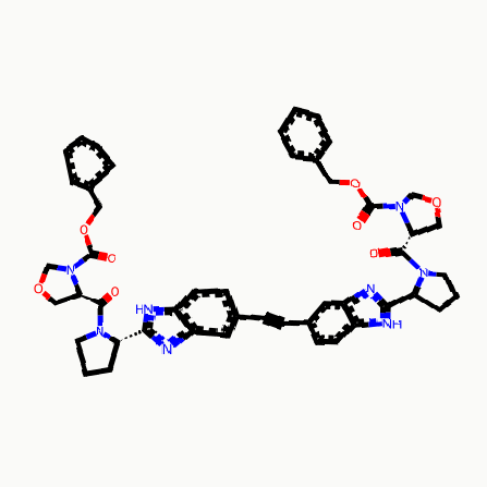 O=C([C@H]1COCN1C(=O)OCc1ccccc1)N1CCCC1c1nc2cc(C#Cc3ccc4[nH]c([C@@H]5CCCN5C(=O)[C@H]5COCN5C(=O)OCc5ccccc5)nc4c3)ccc2[nH]1